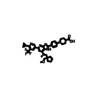 COCC1(CN(C)c2cc(-c3cnc(C4CC4)c(C(F)(F)F)c3)nc3nc(-c4ccc(N5CCC(C(=O)O)CC5)cc4)[nH]c23)CCCC1